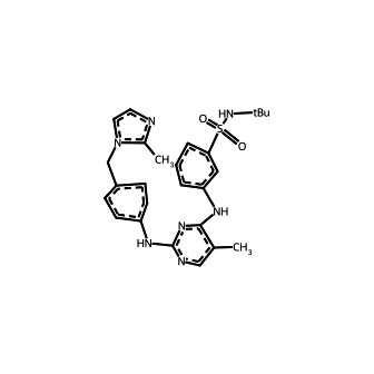 Cc1cnc(Nc2ccc(Cn3ccnc3C)cc2)nc1Nc1cccc(S(=O)(=O)NC(C)(C)C)c1